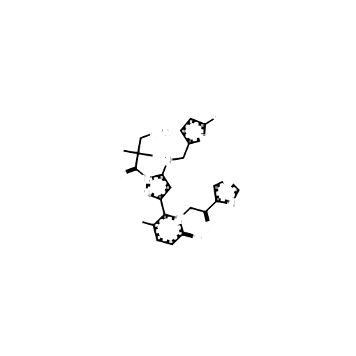 COCC(C)(C)C(=O)n1nc(-c2c(F)ccc(=O)n2CC(=O)c2cocn2)cc1NCc1ccc(Cl)s1